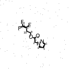 O=C(Cn1cccn1)OCCC(F)=C(F)F